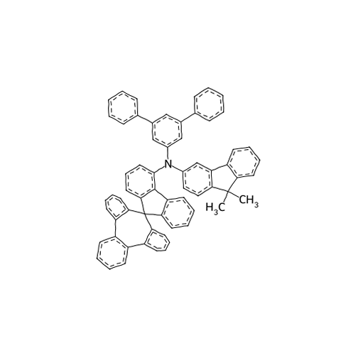 CC1(C)c2ccccc2-c2cc(N(c3cc(-c4ccccc4)cc(-c4ccccc4)c3)c3cccc4c3-c3ccccc3C43c4ccccc4-c4ccccc4-c4ccccc43)ccc21